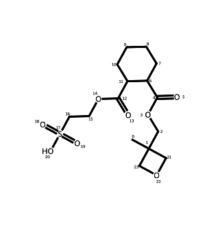 CC1(COC(=O)C2CCCCC2C(=O)OCCS(=O)(=O)O)COC1